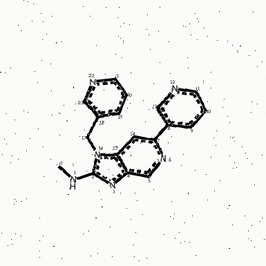 CNc1nc2cnc(-c3cccnc3)cc2n1Cc1cccnc1